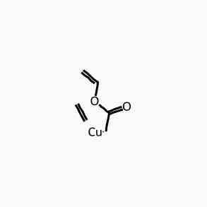 C=C.C=COC(C)=O.[Cu]